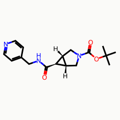 CC(C)(C)OC(=O)N1C[C@@H]2[C@H](C1)[C@H]2C(=O)NCc1ccncc1